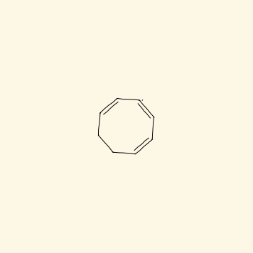 [C]1=CC=CCCC=C1